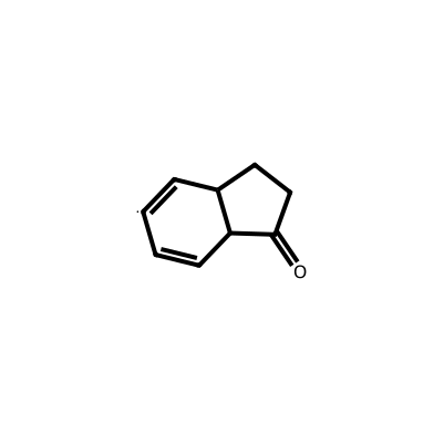 O=C1CCC2C=[C]C=CC12